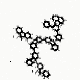 CC1(C)c2ccccc2-c2ccc(-n3c4ccccc4c4cc(-c5ccc6c(c5)c5cc(-c7ccc8c(c7)c7ccccc7n8-c7cccc(-c8nc(-c9ccccc9)c9c(n8)-c8cccc%10cccc-9c8%10)c7)ccc5n6-c5ccc6c(c5)C(C)(C)c5ccccc5-6)ccc43)cc21